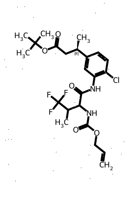 C=CCOC(=O)NC(C(=O)Nc1cc([C@H](C)CC(=O)OC(C)(C)C)ccc1Cl)C(C)C(F)(F)F